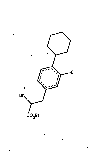 CCOC(=O)C(Br)Cc1ccc(C2CCCCC2)c(Cl)c1